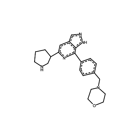 c1cc(-c2nc(C3CCCNC3)cc3cn[nH]c23)ccc1CN1CCOCC1